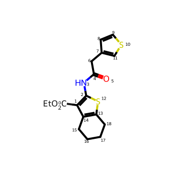 CCOC(=O)c1c(NC(=O)Cc2ccsc2)sc2c1CCCC2